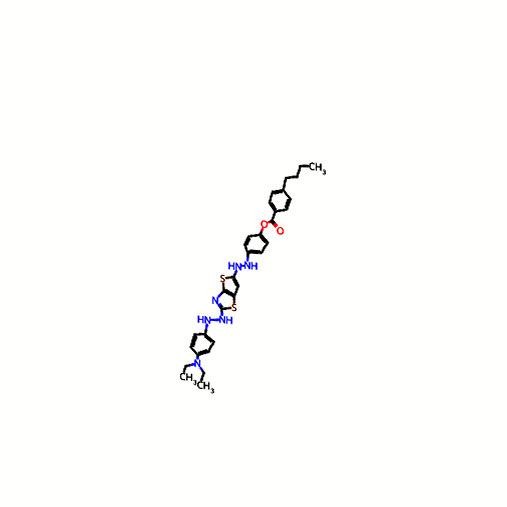 CCCCc1ccc(C(=O)Oc2ccc(NNc3cc4sc(NNc5ccc(N(CC)CC)cc5)nc4s3)cc2)cc1